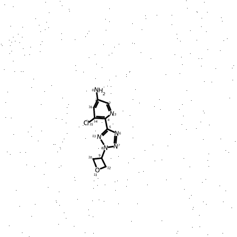 Nc1cnc(-c2nnn(C3COC3)n2)c(Cl)c1